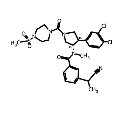 CC(C#N)c1cccc(C(=O)N(C)[C@@H]2CN(C(=O)N3CCN(S(C)(=O)=O)CC3)C[C@H]2c2ccc(Cl)c(Cl)c2)c1